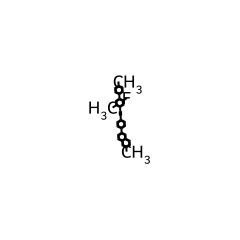 Cc1ccc(-c2cc(C)c(C#Cc3ccc(-c4ccc5cc(C)ccc5c4)cc3)cc2F)cc1